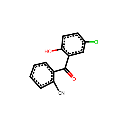 N#Cc1ccccc1C(=O)c1cc(Cl)ccc1O